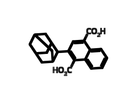 O=C(O)c1cc(C2C3CC4CC(C3)CC2C4)c(C(=O)O)c2ccccc12